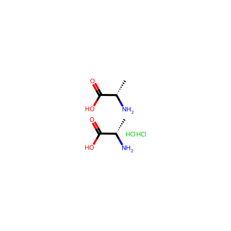 C[C@H](N)C(=O)O.C[C@H](N)C(=O)O.Cl.Cl